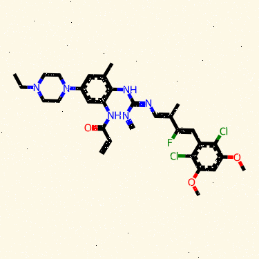 C=CC(=O)Nc1cc(N2CCN(CC)CC2)cc(C)c1N/C(N=C)=N/C=C(C)/C(F)=C/c1c(Cl)c(OC)cc(OC)c1Cl